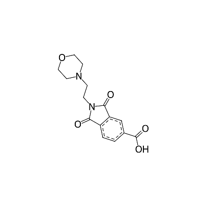 O=C(O)c1ccc2c(c1)C(=O)N(CCN1CCOCC1)C2=O